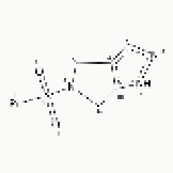 CC(C)S(=O)(=O)N1Cc2[c]n[nH]c2C1